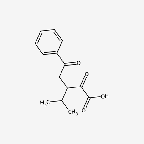 CC(C)C(CC(=O)c1ccccc1)C(=O)C(=O)O